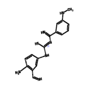 CNc1cccc(C(=N)/N=C(\S)Nc2ccc(N)c(C=N)c2)c1